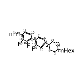 CCCCCCC1CCC(c2ccc(-c3ccc(CCC)c(F)c3F)c(F)c2)CO1